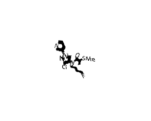 CSC(C)C(=O)N(CCCCF)c1cn(-c2cccnc2)nc1Cl